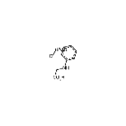 CCCCCCl.O=C(O)CNc1ccccc1